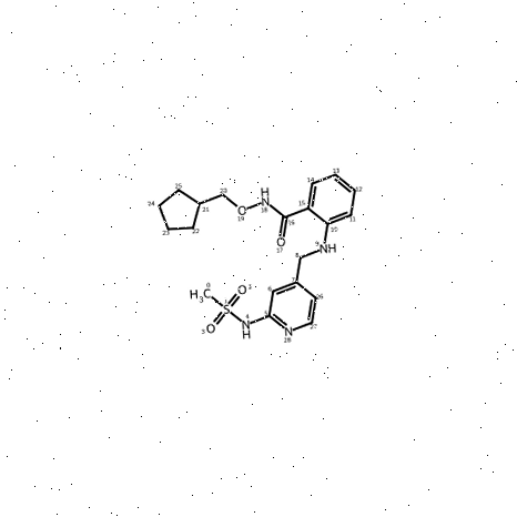 CS(=O)(=O)Nc1cc(CNc2ccccc2C(=O)NOCC2CCCC2)ccn1